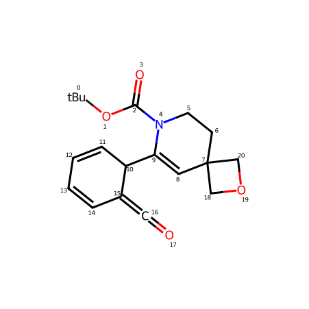 CC(C)(C)OC(=O)N1CCC2(C=C1C1C=CC=CC1=C=O)COC2